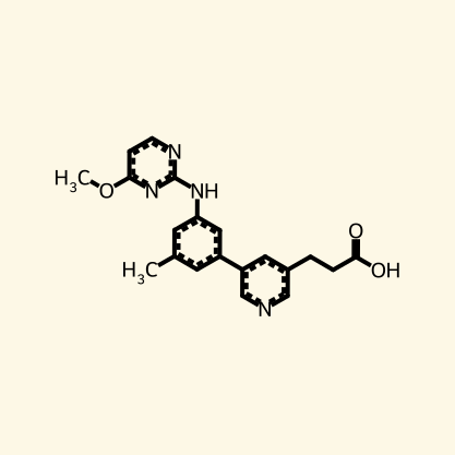 COc1ccnc(Nc2cc(C)cc(-c3cncc(CCC(=O)O)c3)c2)n1